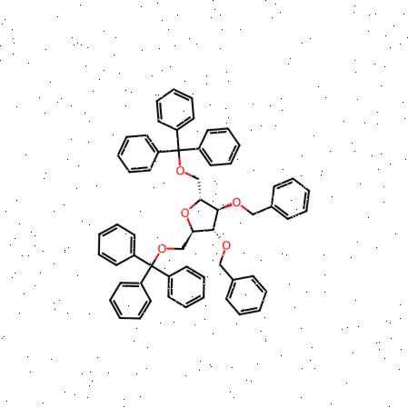 c1ccc(CO[C@H]2[C@H](OCc3ccccc3)[C@@H](COC(c3ccccc3)(c3ccccc3)c3ccccc3)O[C@@H]2COC(c2ccccc2)(c2ccccc2)c2ccccc2)cc1